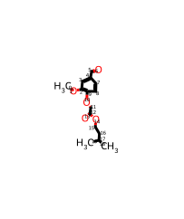 COc1cc(C=O)ccc1OCC(=O)OCCC(C)C